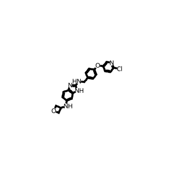 Clc1ccc(Oc2ccc(CNc3nc4ccc(NC5COC5)cc4[nH]3)cc2)cn1